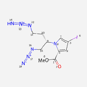 COC(=O)c1cc(I)cn1[C@@H](CCN=[N+]=N)CN=[N+]=[N-]